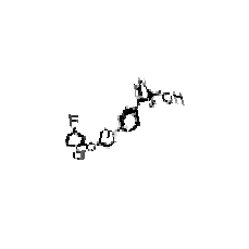 OCc1nnc(-c2ccc(N3CCC(Oc4cc(F)ccc4Cl)CC3)cc2)s1